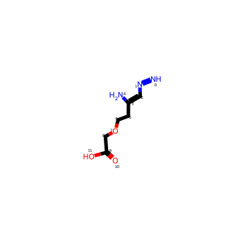 N=N/C=C(\N)CCOCC(=O)O